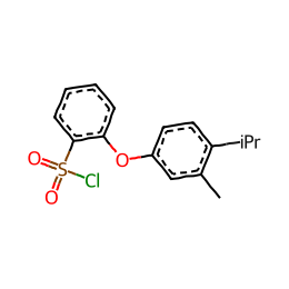 Cc1cc(Oc2ccccc2S(=O)(=O)Cl)ccc1C(C)C